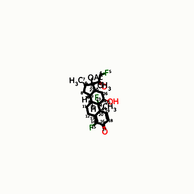 CC(=O)O[C@]1(C(=O)CF)[C@@H](C)C[C@H]2[C@@H]3CCC4=C(F)C(=O)C=C[C@]4(C)[C@@]3(F)[C@@H](O)C[C@@]21C